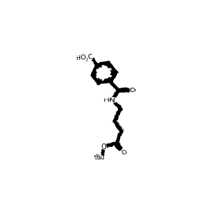 CC(C)(C)OC(=O)CCCNC(=O)c1ccc(C(=O)O)cc1